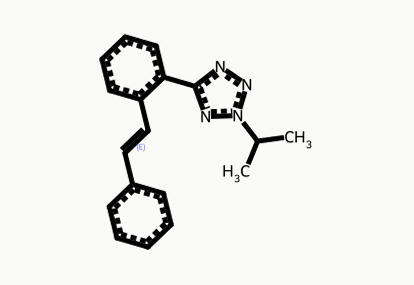 CC(C)n1nnc(-c2ccccc2/C=C/c2ccccc2)n1